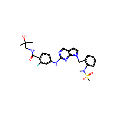 CN(c1ccccc1Cn1ccc2cnc(Nc3ccc(C(=O)NCC(C)(C)O)c(F)c3)nc21)S(C)(=O)=O